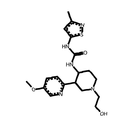 COc1ccc(C2CN(CCO)CCC2NC(=O)Nc2cc(C)ns2)nc1